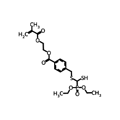 C=C(C)C(=O)OCCOC(=O)c1ccc(CSC(S)P(=O)(OCC)OCC)cc1